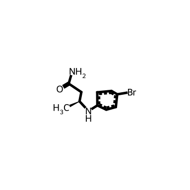 C[C@@H](CC(N)=O)Nc1ccc(Br)cc1